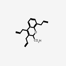 C=CCC1=C(CC=C)C(C(=O)O)Oc2c(CC=C)cccc21